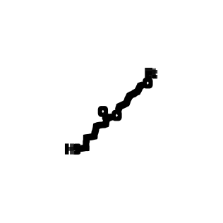 CCOCCCCCOC(=O)CCCCCS